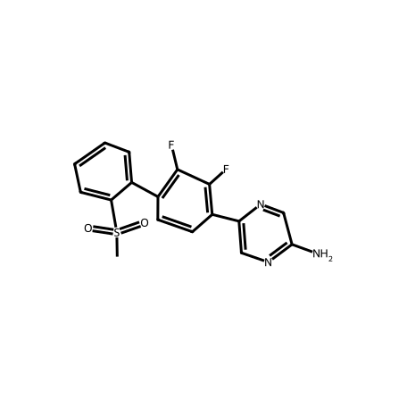 CS(=O)(=O)c1ccccc1-c1ccc(-c2cnc(N)cn2)c(F)c1F